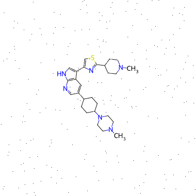 CN1CCC(c2nc(-c3c[nH]c4ncc(C5CCC(N6CCN(C)CC6)CC5)cc34)cs2)CC1